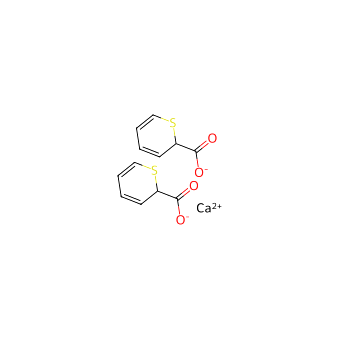 O=C([O-])C1C=CC=CS1.O=C([O-])C1C=CC=CS1.[Ca+2]